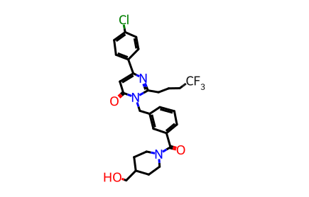 O=C(c1cccc(Cn2c(CCCC(F)(F)F)nc(-c3ccc(Cl)cc3)cc2=O)c1)N1CCC(CO)CC1